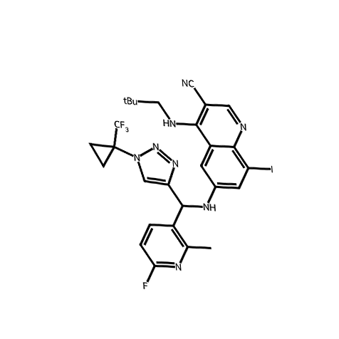 Cc1nc(F)ccc1C(Nc1cc(I)c2ncc(C#N)c(NCC(C)(C)C)c2c1)c1cn(C2(C(F)(F)F)CC2)nn1